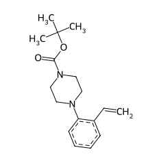 C=Cc1ccccc1N1CCN(C(=O)OC(C)(C)C)CC1